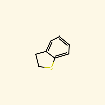 [c]1ccc2c(c1)CCS2